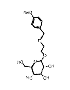 COc1ccc(COCCO[C@@H]2O[C@H](CO)[C@@H](O)[C@H](O)[C@H]2O)cc1